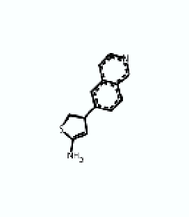 NC1=CC(c2ccc3cnccc3c2)CS1